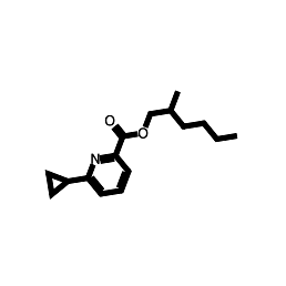 CCCCC(C)COC(=O)c1cccc(C2CC2)n1